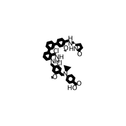 COc1cc(-c2cccc(-c3cccc(NCc4cc(OC)c(CN(C5CCC(C(=O)O)CC5)C5CC5)cc4Cl)c3C=N)c2Cl)ccc1CNC[C@@H]1CCC(=O)N1